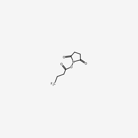 O=C(CCC(F)(F)F)ON1C(=O)CCC1=O